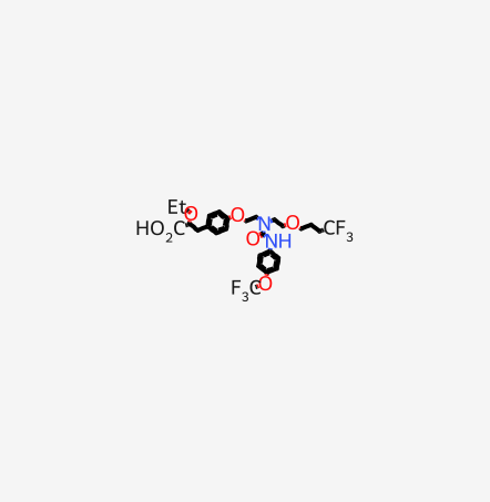 CCOC(Cc1ccc(OCCN(CCOCCCC(F)(F)F)C(=O)Nc2ccc(OC(F)(F)F)cc2)cc1)C(=O)O